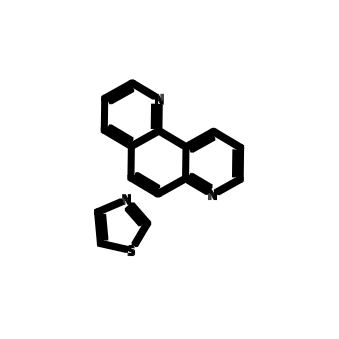 c1cnc2c(c1)ccc1ncccc12.c1cscn1